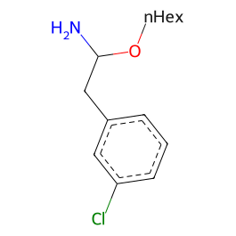 CCCCCCOC(N)Cc1cccc(Cl)c1